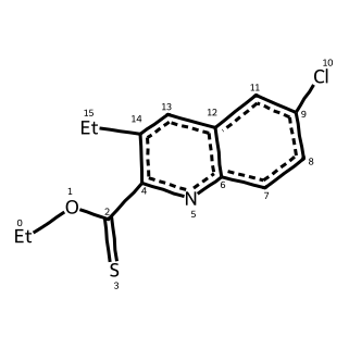 CCOC(=S)c1nc2ccc(Cl)cc2cc1CC